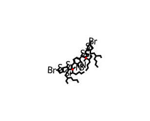 CCCCC(CC)C[Si]1(CC(CC)CCCC)c2cc(Br)sc2-c2sc(-c3ccc(-c4cc5c(s4)-c4sc(Br)cc4[Si]5(CC(CC)CCCC)CC(CC)CCCC)c4nsnc34)cc21